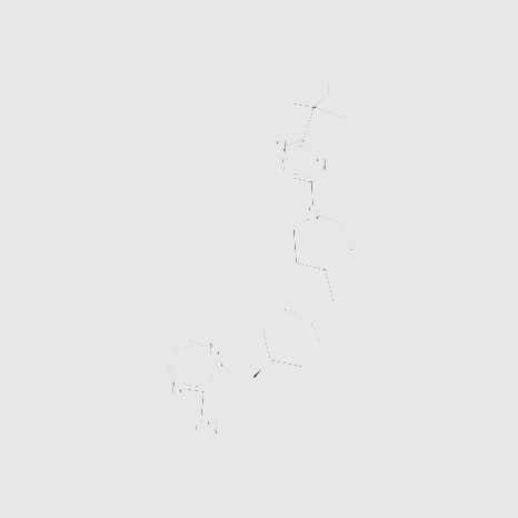 CC(C)(F)c1noc(N2CCC(O[C@H]3CC[C@H](Oc4nccnc4C#N)CC3)CC2)n1